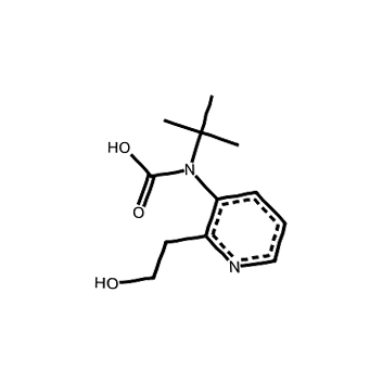 CC(C)(C)N(C(=O)O)c1cccnc1CCO